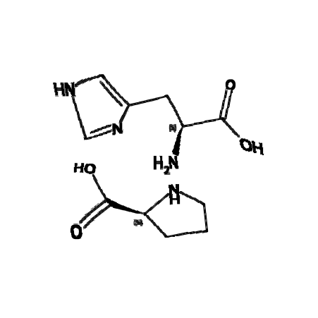 N[C@@H](Cc1c[nH]cn1)C(=O)O.O=C(O)[C@@H]1CCCN1